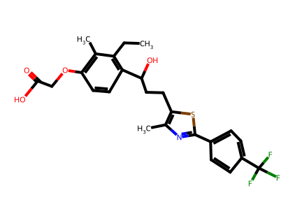 CCc1c(C(O)CCc2sc(-c3ccc(C(F)(F)F)cc3)nc2C)ccc(OCC(=O)O)c1C